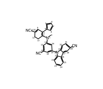 CN(C1=C(C2=C=CC=C2)C=C(C#N)CC1)c1cc(C#N)cc(-n2c3ccccc3c3cc(C#N)ccc32)c1